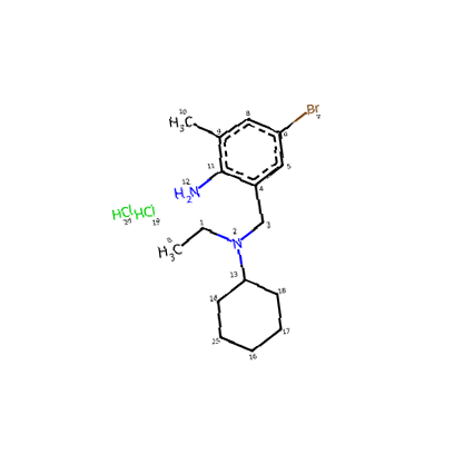 CCN(Cc1cc(Br)cc(C)c1N)C1CCCCC1.Cl.Cl